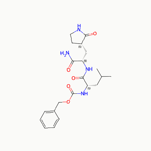 CC(C)C[C@H](NC(=O)OCc1ccccc1)C(=O)N[C@@H](C[C@@H]1CCNC1=O)C(N)=O